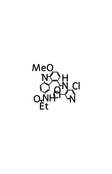 CCC(=O)Nc1ccc2c(c1)c1c(C(=O)Nc3c(Cl)cncc3Cl)ccc(OC)c1n2C